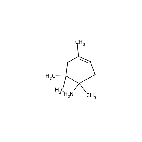 CC1=CCC(C)(N)C(C)(C)C1